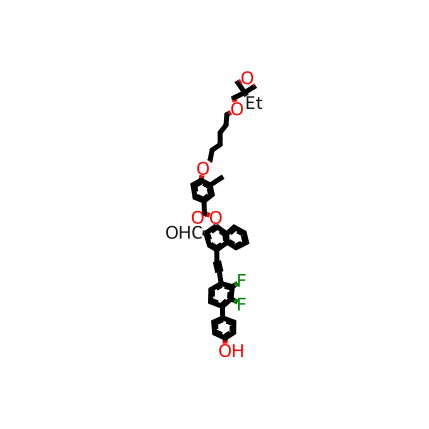 CCC1(COCCCCCCOc2ccc(C(=O)Oc3c(C=O)cc(C#Cc4ccc(-c5ccc(O)cc5)c(F)c4F)c4ccccc34)cc2C)COC1